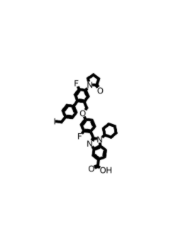 O=C(O)c1ccc2c(c1)nc(-c1ccc(OCc3cc(N4CCCC4=O)c(F)cc3-c3ccc(CI)cc3)cc1F)n2C1CCCCC1